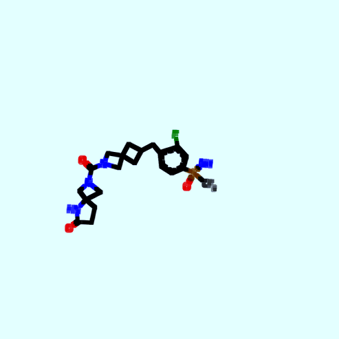 N=S(=O)(c1ccc(CC2CC3(C2)CN(C(=O)N2CC4(CCC(=O)N4)C2)C3)c(F)c1)C(F)(F)F